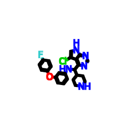 Fc1ccc(Oc2cccc(NC(c3ncnc4[nH]cc(Cl)c34)C3CCNCC3)c2)cc1